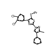 Cc1nn(-c2nc(-c3ccc(Cl)c(Cl)c3)c(SC(C)C)s2)[c]c1-c1ccccc1